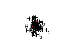 COC1[C@@H](COP(=O)(O)S)O[C@@H](n2cnc3c(N)ncnc32)[C@H]1OP(=O)(S)OC[C@H]1O[C@@H](n2cnc3c(N)ncnc32)[C@@H](OP(=O)(O)OC[C@]23CCCOC2[C@H](O)[C@H](n2cnc4c(N)ncnc42)O3)C1O